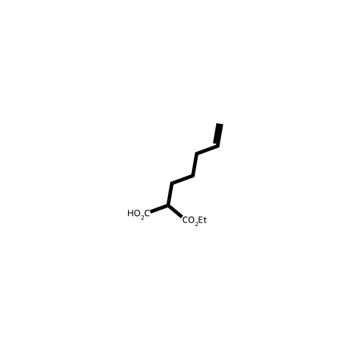 C=CCCCC(C(=O)O)C(=O)OCC